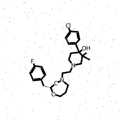 CC1(C)CN(CCN2CCCO[C@H](Cc3ccc(F)cc3)C2)CCC1(O)c1ccc(Cl)cc1